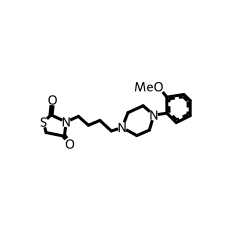 COc1ccccc1N1CCN(CCCCN2C(=O)CSC2=O)CC1